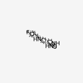 O=c1[nH]c2ccc([C@H]3CC[C@H](NCCCc4ccc(F)cc4)CC3)cc2[nH]1